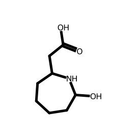 O=C(O)CC1CCCCC(O)N1